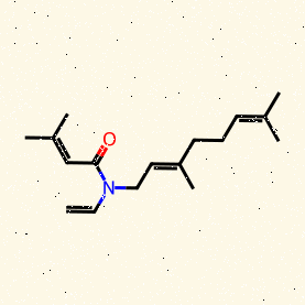 C=CN(C/C=C(\C)CCC=C(C)C)C(=O)C=C(C)C